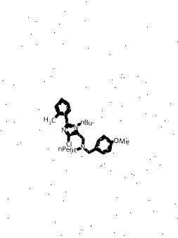 CCCCCN(Cc1ccc(OC)cc1)Cc1c(Cl)nc(-c2ccccc2C)n1CCCC